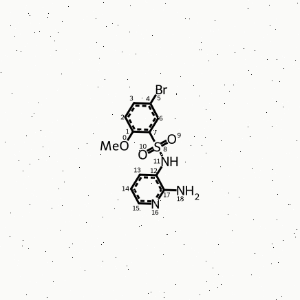 COc1ccc(Br)cc1S(=O)(=O)Nc1cccnc1N